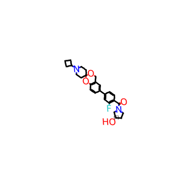 O=C(c1ccc(-c2ccc3c(c2)COC2(CCN(C4CCC4)CC2)O3)cc1F)N1CC[C@H](O)C1